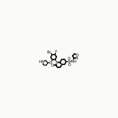 O=c1ccc2cc(S(=O)(=O)Nc3ccon3)ccc2n1-c1cc(F)c(Br)cc1OC1CCNC1